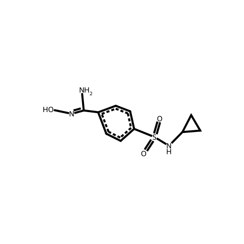 N/C(=N\O)c1ccc(S(=O)(=O)NC2CC2)cc1